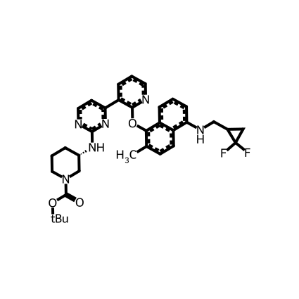 Cc1ccc2c(NCC3CC3(F)F)cccc2c1Oc1ncccc1-c1ccnc(N[C@H]2CCCN(C(=O)OC(C)(C)C)C2)n1